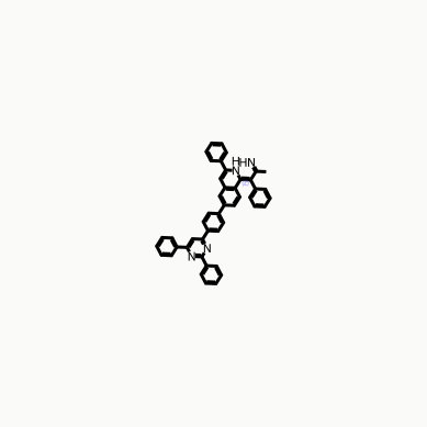 CC(=N)/C(=C1\NC(c2ccccc2)=Cc2cc(-c3ccc(-c4cc(-c5ccccc5)nc(-c5ccccc5)n4)cc3)ccc21)c1ccccc1